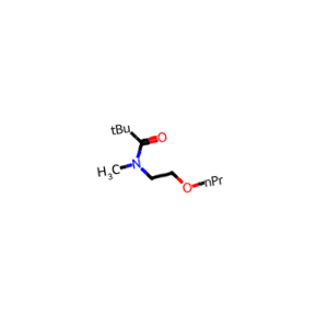 CCCOCCN(C)C(=O)C(C)(C)C